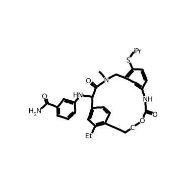 CCc1cc2ccc1CCOC(=O)Nc1ccc(SC(C)C)c(c1)CN(C)C(=O)C2Nc1cccc(C(N)=O)c1